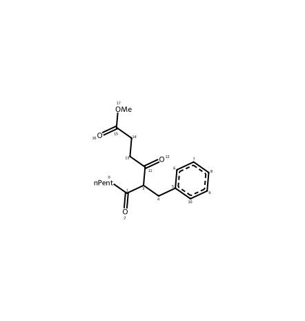 CCCCCC(=O)C(Cc1ccccc1)C(=O)CCC(=O)OC